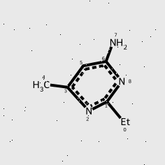 CCc1nc(C)cc(N)n1